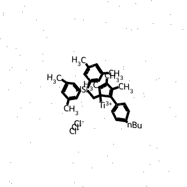 CCCCc1ccc(C2=C(C)C(C)=C(C)[C]2([Ti+3])C[SiH](c2cc(C)cc(C)c2)c2cc(C)cc(C)c2)cc1.[Cl-].[Cl-].[Cl-]